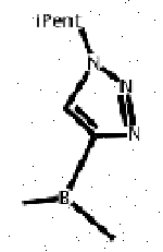 CCCC(C)n1cc(B(C)C)nn1